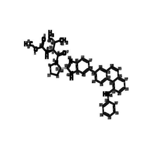 COC(=O)N[C@H](C(=O)N1CCC[C@H]1c1nc2ccc(-c3ccc4c(ccc5cccc(Nc6ccccc6)c54)c3)cc2[nH]1)C(C)C